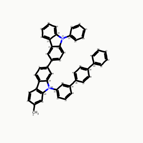 Cc1ccc2c3ccc(-c4ccc5c(c4)c4ccccc4n5-c4ccccc4)cc3n(-c3cccc(-c4ccc(-c5ccccc5)cc4)c3)c2c1